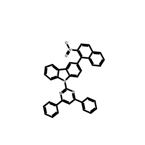 O=[N+]([O-])c1ccc2ccccc2c1-c1ccc2c(c1)c1ccccc1n2-c1nc(-c2ccccc2)cc(-c2ccccc2)n1